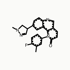 Cc1cc(-n2c(=O)ccc3cnc4ccc(C5C=NN(C)C5)cc4c32)ccc1F